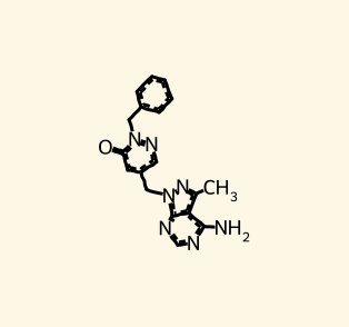 Cc1nn(Cc2cnn(Cc3ccccc3)c(=O)c2)c2ncnc(N)c12